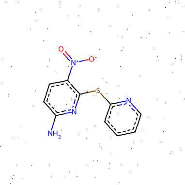 Nc1ccc([N+](=O)[O-])c(Sc2ccccn2)n1